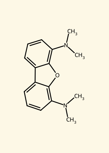 CN(C)c1cccc2c1oc1c(N(C)C)cccc12